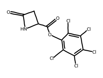 O=C1CC(C(=O)Oc2c(Cl)c(Cl)c(Cl)c(Cl)c2Cl)N1